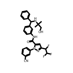 CC(C)(CO)NC(c1ccccc1)c1cccc(NC(=O)c2cc(C(F)C(F)F)nn2-c2cccc(C#N)c2)c1